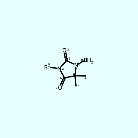 BN1C(=O)N(Br)C(=O)C1(C)C